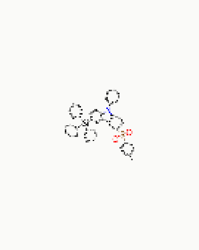 Cc1ccc(S(=O)(=O)c2ccc3c(c2)c2cc([Si](c4ccccc4)(c4ccccc4)c4ccccc4)ccc2n3-c2ccccc2)cc1